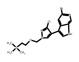 CS(C)(C)CCOCn1cc(-c2c[nH]c3cnc(Br)cc23)c(Cl)n1